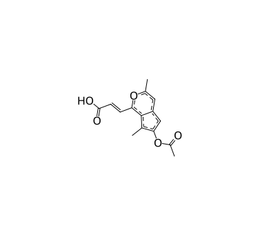 CC(=O)Oc1cc2cc(C)oc(C=CC(=O)O)c-2c1C